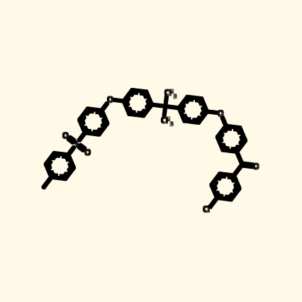 Cc1ccc(S(=O)(=O)c2ccc(Oc3ccc(C(c4ccc(Oc5ccc(C(=O)c6ccc(Cl)cc6)cc5)cc4)(C(F)(F)F)C(F)(F)F)cc3)cc2)cc1